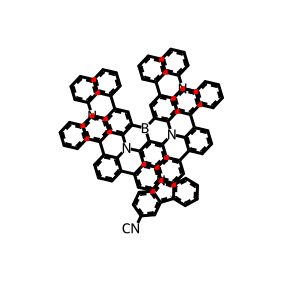 [C-]#[N+]c1ccc2c(c1)c1ccccc1n2-c1cc2c3c(c1)N(c1c(-c4ccccc4)cccc1-c1ccccc1)c1cc(N(c4ccccc4)c4ccccc4)c(-c4ccccc4)cc1B3c1cc(-c3ccccc3)c(N(c3ccccc3)c3ccccc3)cc1N2c1c(-c2ccccc2)cccc1-c1ccccc1